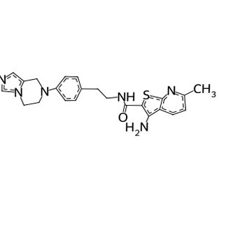 Cc1ccc2c(N)c(C(=O)NCCc3ccc(N4CCn5cncc5C4)cc3)sc2n1